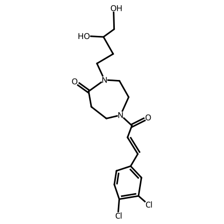 O=C(C=Cc1ccc(Cl)c(Cl)c1)N1CCC(=O)N(CCC(O)CO)CC1